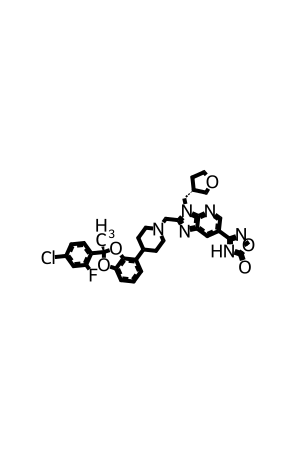 C[C@]1(c2ccc(Cl)cc2F)Oc2cccc(C3CCN(Cc4nc5cc(-c6noc(=O)[nH]6)cnc5n4C[C@@H]4CCOC4)CC3)c2O1